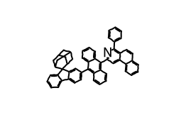 c1ccc(-c2nc(-c3c4ccccc4c(-c4ccc5c(c4)C4(c6ccccc6-5)C5CC6CC(C5)CC4C6)c4ccccc34)cc3c2ccc2ccccc23)cc1